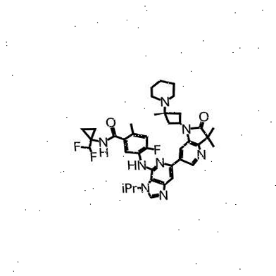 Cc1cc(F)c(Nc2nc(-c3cnc4c(c3)N([C@H]3C[C@@](C)(N5CCCCC5)C3)C(=O)C4(C)C)cc3ncn(C(C)C)c23)cc1C(=O)NC1(C(F)F)CC1